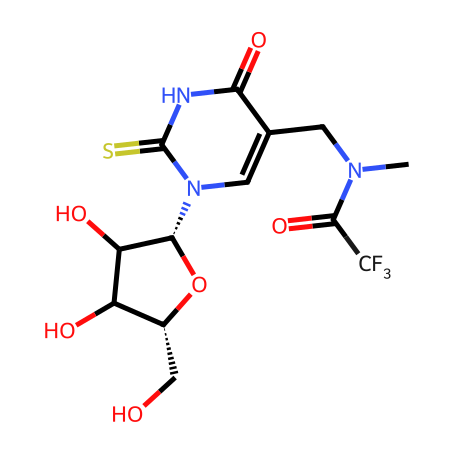 CN(Cc1cn([C@@H]2O[C@H](CO)C(O)C2O)c(=S)[nH]c1=O)C(=O)C(F)(F)F